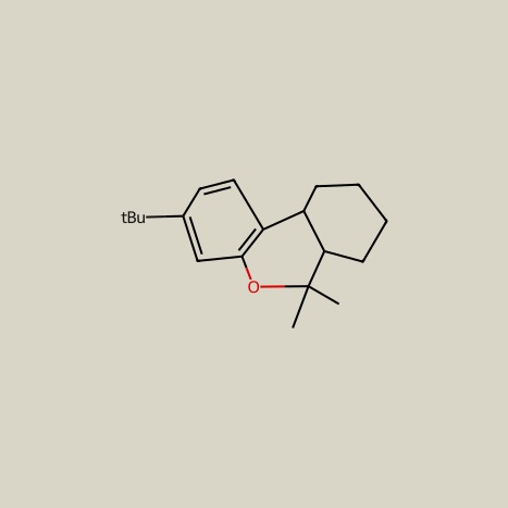 CC(C)(C)c1ccc2c(c1)OC(C)(C)C1CCCCC21